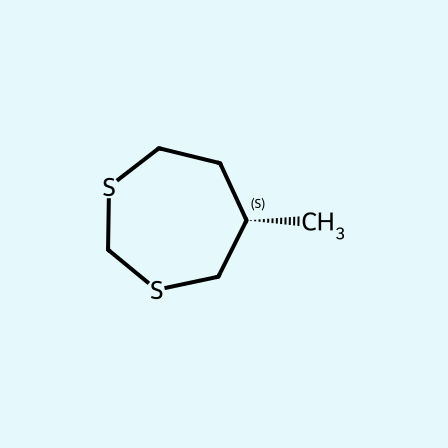 C[C@H]1CCSCSC1